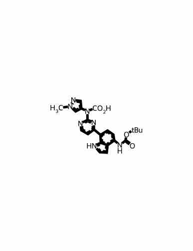 Cn1cc(N(C(=O)O)c2nccc(-c3ccc(NC(=O)OC(C)(C)C)c4cc[nH]c34)n2)cn1